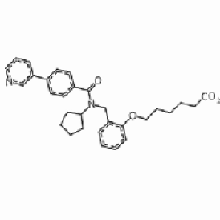 O=C(O)CCCCCOc1ccccc1CN(C(=O)c1ccc(-c2cccnc2)cc1)C1CCCC1